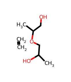 C=C.CC(O)COC(C)CO